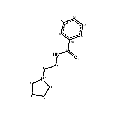 O=C(NCCN1C[CH]CC1)c1ccccc1